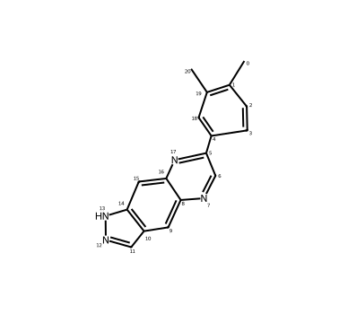 Cc1ccc(-c2cnc3cc4cn[nH]c4cc3n2)cc1C